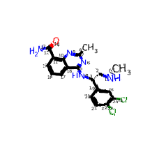 CNC[C@@H](Nc1nc(C)nc2c(C(N)=O)cccc12)c1ccc(Cl)c(Cl)c1